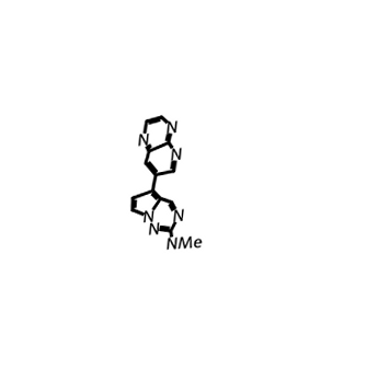 CNc1ncc2c(-c3cnc4nccnc4c3)ccn2n1